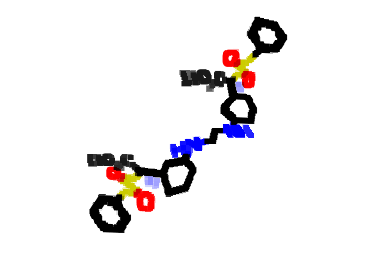 CCOC(=O)/C(=C1\C=C(NCCNC2=C/C(=C(\C(=O)OCC)S(=O)(=O)c3ccccc3)CCC2)CCC1)S(=O)(=O)c1ccccc1